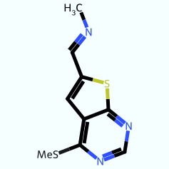 CN=Cc1cc2c(SC)ncnc2s1